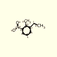 CCc1cccc([N+](=O)[O-])c1C